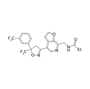 CCC(=O)NCc1ncc(C2=NOC(c3cccc(C(F)(F)F)c3)(C(F)(F)F)C2)c2ccoc12